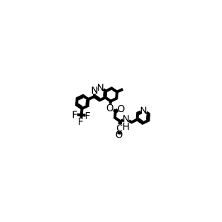 CC1Cc2nnc(-c3cccc(C(F)(F)F)c3)cc2C(OC(=O)CC(=C=O)NCc2cccnc2)C1